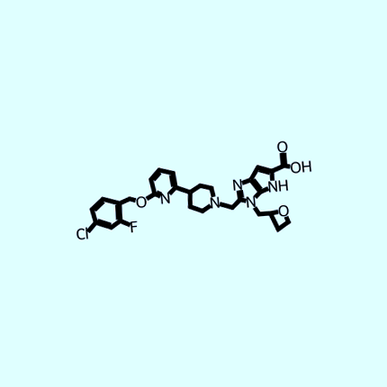 O=C(O)c1cc2nc(CN3CCC(c4cccc(OCc5ccc(Cl)cc5F)n4)CC3)n(CC3CCO3)c2[nH]1